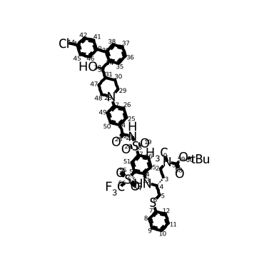 CN(CC[C@H](CSc1ccccc1)Nc1ccc(S(=O)(=O)NC(=O)c2ccc(N3CCC([C@@H](O)c4ccccc4-c4ccc(Cl)cc4)CC3)cc2)cc1S(=O)(=O)C(F)(F)F)C(=O)OC(C)(C)C